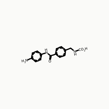 Nc1ccc(NC(=O)c2ccc(CNC(=O)O)cc2)cc1